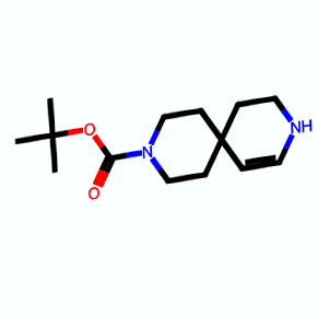 CC(C)(C)OC(=O)N1CCC2(C=CNCC2)CC1